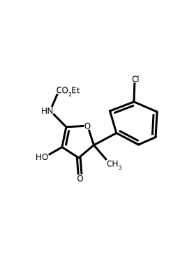 CCOC(=O)NC1=C(O)C(=O)C(C)(c2cccc(Cl)c2)O1